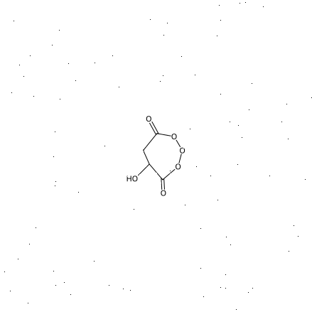 O=C1CC(O)C(=O)OOO1